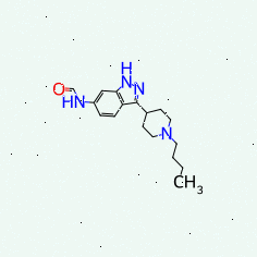 CCCCN1CCC(c2n[nH]c3cc(NC=O)ccc23)CC1